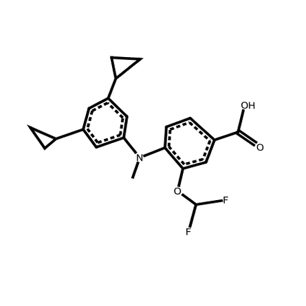 CN(c1cc(C2CC2)cc(C2CC2)c1)c1ccc(C(=O)O)cc1OC(F)F